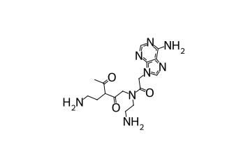 CC(=O)C(CCN)C(=O)CN(CCN)C(=O)Cn1cnc2c(N)ncnc21